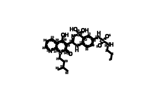 CCCNS(=O)(=O)Nc1ccc2c(c1)S(O)(O)N=C(c1c(O)c3cccnc3n(CCC(C)C)c1=O)N2